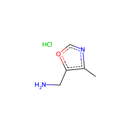 Cc1ncoc1CN.Cl